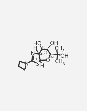 CC(C)(O)[C@H]1O[C@@H]2SC(N3CCC3)=N[C@@H]2[C@@H](O)[C@@H]1O